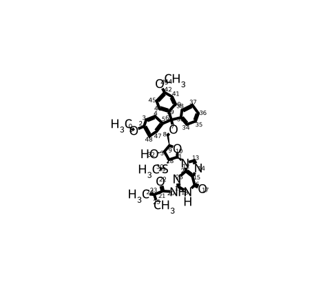 COc1ccc(C(OC[C@H]2O[C@@H](n3cnc4c(=O)[nH]c(NC(=O)C(C)C)nc43)[C@H](SC)[C@@H]2O)(c2ccccc2)c2ccc(OC)cc2)cc1